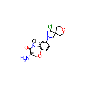 CN1C(=O)[C@@H](N)COc2ccc(NCC3(CCl)CCOCC3)cc21